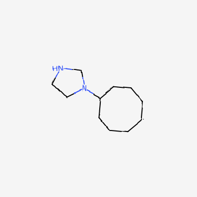 [CH]1CCCC(N2CCNC2)CCC1